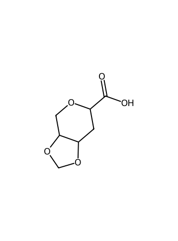 O=C(O)C1CC2OCOC2CO1